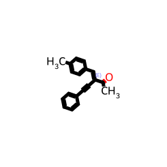 CC(=O)/C(C#Cc1ccccc1)=C/c1ccc(C)cc1